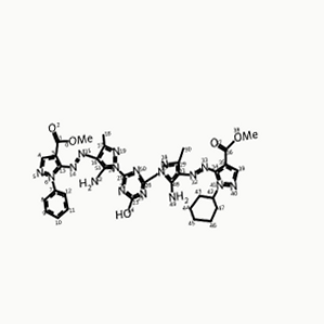 COC(=O)c1cnn(-c2ccccc2)c1/N=N/c1c(C)nn(-c2nc(O)nc(-n3nc(C)c(/N=N/c4c(C(=O)OC)cnn4C4CCCCC4)c3N)n2)c1N